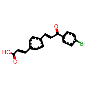 O=C(O)C=Cc1ccc(C=CC(=O)c2ccc(Br)cc2)cc1